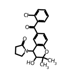 CC1(C)Oc2ccc(C(=O)c3ccccc3Cl)cc2C(N2CCCC2=O)C1O